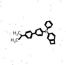 CCC(C)c1ccc(-c2ccc(N(c3ccccc3)c3ccc4c(c3)CC4)cc2)cc1